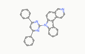 c1ccc(-c2cc(-c3ccccc3)nc(-n3c4ccccc4c4c5ccncc5ccc43)n2)cc1